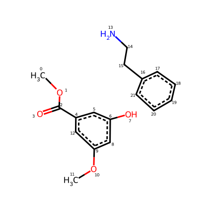 COC(=O)c1cc(O)cc(OC)c1.NCCc1ccccc1